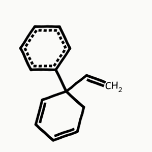 C=CC1(c2ccccc2)C=CC=CC1